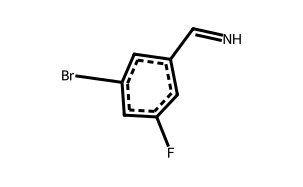 N=Cc1cc(F)cc(Br)c1